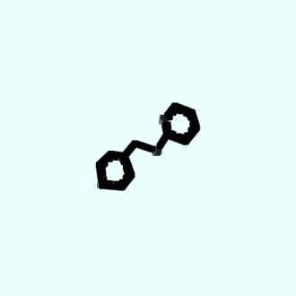 [c]1ccc(COc2ccccn2)cc1